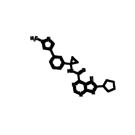 Cn1cc(-c2cccc(C3(NC(=O)c4ncnc5nc(C6CCCC6)[nH]c45)CC3)c2)cn1